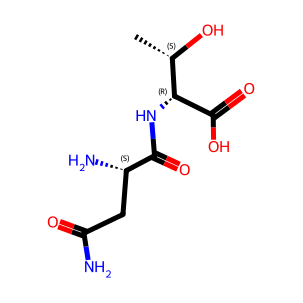 C[C@H](O)[C@@H](NC(=O)[C@@H](N)CC(N)=O)C(=O)O